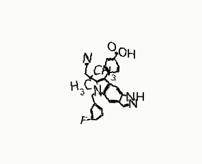 CC(C)(CC#N)c1c(-c2ccc(C(=O)O)cc2)c2cc3[nH]ncc3cc2n1Cc1cccc(F)c1